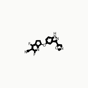 N#Cc1c(F)nc2c(c1F)CC[C@H]2Oc1ccc2[nH]nc(-c3cnco3)c2c1